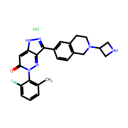 Cc1cccc(F)c1-n1nc2c(-c3ccc4c(c3)CCN(C3CNC3)C4)n[nH]c2cc1=O.Cl